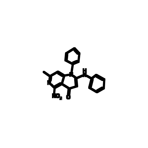 Cc1cc2c(c([N+](=O)[O-])n1)c(=O)cc(Nc1ccccc1)n2-c1ccccc1